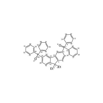 CCC1(CC)c2ccc(P(=O)(c3ccccc3)c3ccccc3)cc2-c2cc(P(=O)(c3ccccc3)c3ccccc3)ccc21